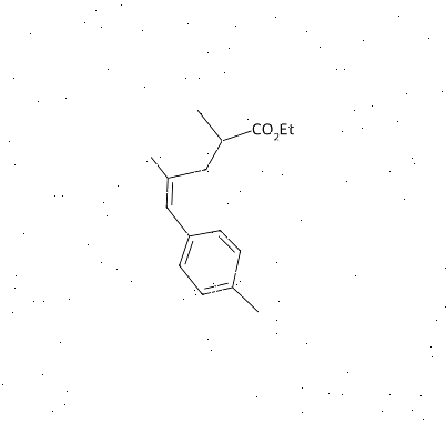 CCOC(=O)C(C)CC(C)=Cc1ccc(C)cc1